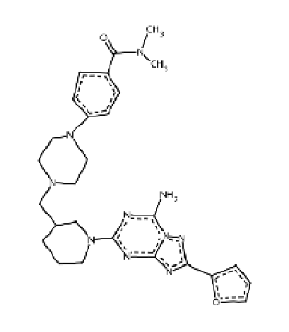 CN(C)C(=O)c1ccc(N2CCN(CC3CCCN(c4nc(N)n5nc(-c6ccco6)nc5n4)C3)CC2)cc1